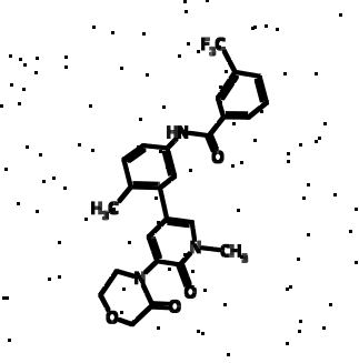 Cc1ccc(NC(=O)c2cccc(C(F)(F)F)c2)cc1-c1cc(N2CCOCC2=O)c(=O)n(C)c1